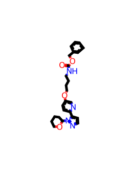 O=C(NCCCCOc1ccc(-c2ccnn2C2CCCCO2)nc1)OCc1ccccc1